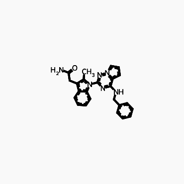 Cc1c(CC(N)=O)c2ccccc2n1-c1nc(NCc2ccccc2)c2cccn2n1